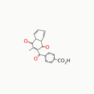 CC1=C(C(=O)c2ccc(C(=O)O)cc2)C(=O)C2C=CC=CC2C1=O